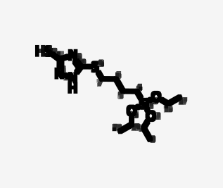 CCO[Si](CCCCSc1nc(S)n[nH]1)(OCC)OCC